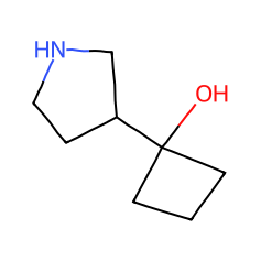 OC1(C2CCNC2)CCC1